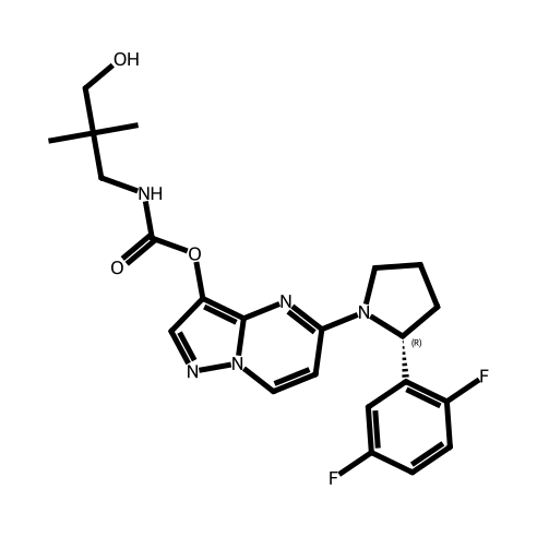 CC(C)(CO)CNC(=O)Oc1cnn2ccc(N3CCC[C@@H]3c3cc(F)ccc3F)nc12